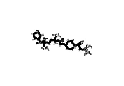 CN(C)CC(=O)N1CCC(CNC(C)(C)CCC(C)(C)NC2CCOC2)CC1